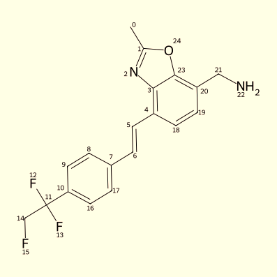 Cc1nc2c(/C=C/c3ccc(C(F)(F)CF)cc3)ccc(CN)c2o1